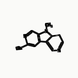 CN1c2cnc(C(C)(C)C)cc2C2=CN=CCC21